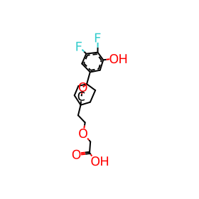 O=C(O)COCCC12CCC(c3cc(O)c(F)c(F)c3)(CC1)OC2